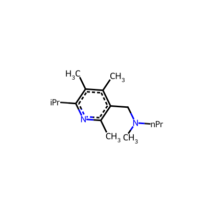 CCCN(C)Cc1c(C)nc(C(C)C)c(C)c1C